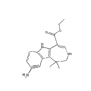 CCOC(=O)C1=CNCC(C)(C)c2c1[nH]c1ccc(N)cc21